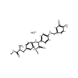 COC(=O)[C@@H](N)Cc1ccc2c(c1)N(C)C(=O)[C@H](c1ccc(OCc3ccc(Cl)c(Cl)c3)cc1)O2.Cl